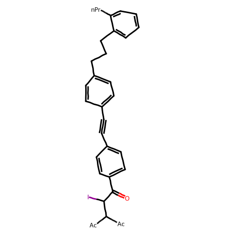 CCCc1ccccc1CCCc1ccc(C#Cc2ccc(C(=O)C(I)C(C(C)=O)C(C)=O)cc2)cc1